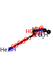 CCCCCCNCCOCCOCCOCCOCCOCCSCCCO[C@]1(C(=O)O)C[C@H](O)[C@@H](NC(C)=O)[C@H]([C@H](O)[C@H](O)CNC(=O)c2ccc(-c3ccccc3)cc2)O1